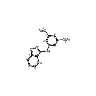 COc1cc(Nc2noc3ccccc23)cc(OC)c1